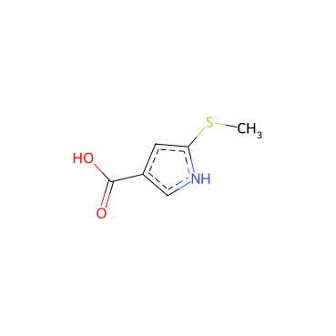 CSc1cc(C(=O)O)c[nH]1